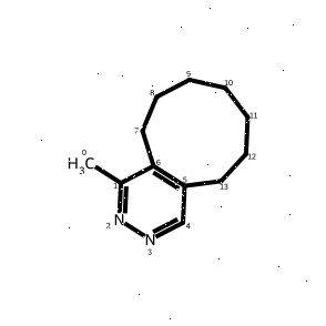 Cc1nncc2c1CCCCCCC2